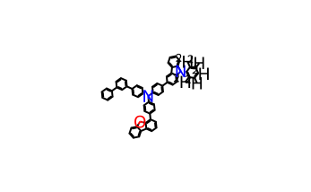 [2H]c1c([2H])c([2H])c(-n2c3ccccc3c3cc(-c4ccc(N(c5ccc(-c6cccc(-c7ccccc7)c6)cc5)c5ccc(-c6cccc7c6oc6ccccc67)cc5)cc4)ccc32)c([2H])c1[2H]